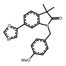 COc1ccc(CN2C(=O)C(C)(C)c3ccc(-c4cnco4)cc32)cc1